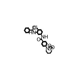 O=C(Nc1ccc(Cl)c(NC(=O)c2ccccc2)c1)c1ccc(N2CCCCS2(=O)=O)cc1